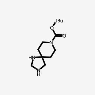 CC(C)(C)OC(=O)N1CCC2(CC1)CNCN2